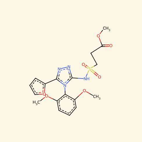 COC(=O)CCS(=O)(=O)Nc1nnc(-c2ccco2)n1-c1c(OC)cccc1OC